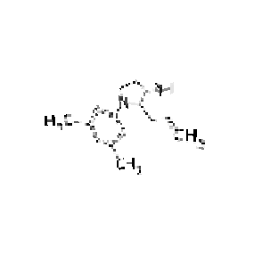 [2H]C1CCN(c2cc(C)cc(C)c2)C1CC=C